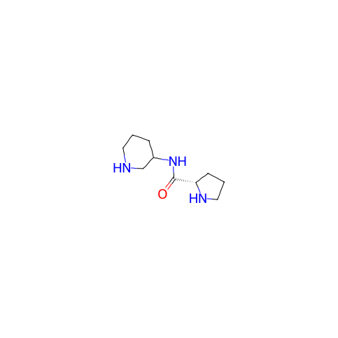 O=C(NC1CCCNC1)[C@@H]1CCCN1